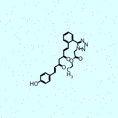 CCOC(=O)Cn1nnnc1-c1ccccc1/C=C/C(=O)CC(=O)/C=C/c1ccc(O)cc1